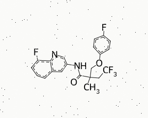 CC(COc1ccc(F)cc1)(CC(F)(F)F)C(=O)Nc1cnc2c(F)cccc2c1